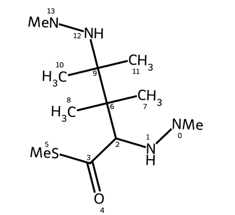 CNNC(C(=O)SC)C(C)(C)C(C)(C)NNC